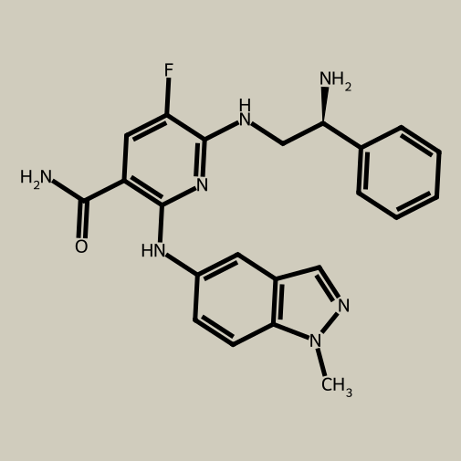 Cn1ncc2cc(Nc3nc(NC[C@@H](N)c4ccccc4)c(F)cc3C(N)=O)ccc21